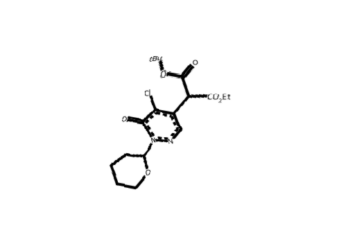 CCOC(=O)C(C(=O)OC(C)(C)C)c1cnn(C2CCCCO2)c(=O)c1Cl